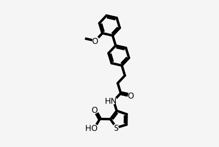 COc1ccccc1-c1ccc(CCC(=O)Nc2ccsc2C(=O)O)cc1